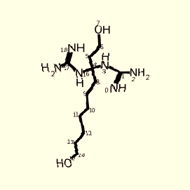 N=C(N)NC(CCO)(CCCCCCCO)NC(=N)N